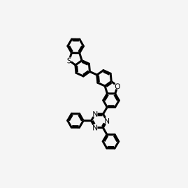 c1ccc(-c2nc(-c3ccccc3)nc(-c3ccc4oc5ccc(-c6ccc7sc8ccccc8c7c6)cc5c4c3)n2)cc1